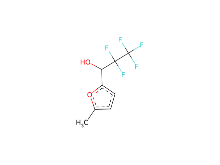 Cc1ccc(C(O)C(F)(F)C(F)(F)F)o1